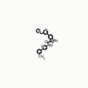 Cc1cccc(-c2ccc(NC(=O)c3n[nH]c4ccc(-c5cncc(CN6CCCC6)c5)cc34)cn2)c1